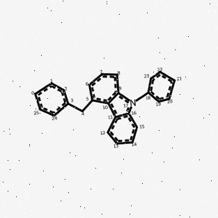 c1ccc(Cc2cccc3c2c2ccccc2n3-c2ccccc2)cc1